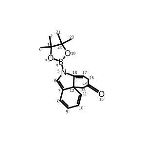 CC1(C)OB(N2C=C3C=CC=CC34CC(=O)CC=C24)OC1(C)C